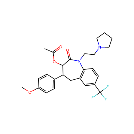 COc1ccc(C2Cc3cc(C(F)(F)F)ccc3N(CCN3CCCC3)C(=O)C2OC(C)=O)cc1